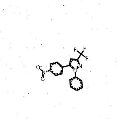 O=[N+]([O-])c1ccc(-c2cc(C(F)(F)F)nn2-c2ccccc2)cc1